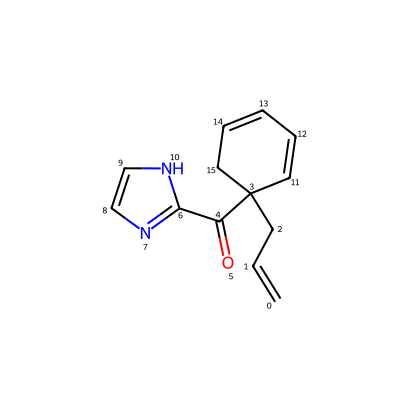 C=CCC1(C(=O)c2ncc[nH]2)C=CC=CC1